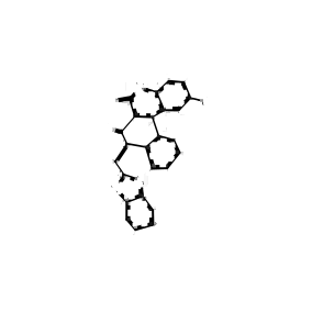 O=C1/C(=C/c2nc3ccccc3[nH]2)c2ccccc2-c2c1c(=O)[nH]c1ccc(Cl)cc21